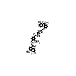 O=C(COc1cccc(C(O)(C(=O)O)c2ccccc2)c1)NC1CC(NC(=O)c2ccc(CNCC(O)c3ccc(O)c4[nH]c(=O)ccc34)c(OC(F)(F)F)c2)C1